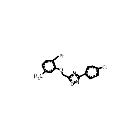 Cc1ccc(C(C)C)c(OCc2nc(-c3ccc(Cl)cc3)no2)c1